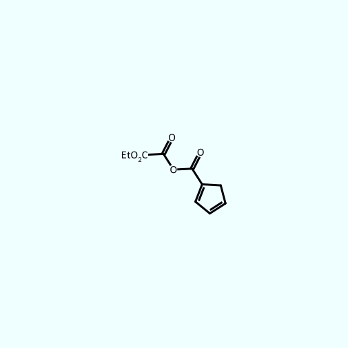 CCOC(=O)C(=O)OC(=O)C1=CC=CC1